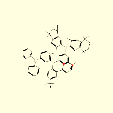 Cc1cc2c(cc1N1c3cc4c(cc3B3c5ccc(N(c6ccccc6)c6ccccc6)cc5N(c5ccc(C(C)(C)C)cc5-c5ccccc5)c5cc(C(C)(C)C)cc1c53)C(C)(C)CC4(C)C)C(C)(C)CCC2(C)C